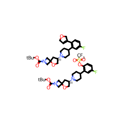 CC(C)(C)OC(=O)N1CC2(C[C@H](N3CCC(c4cc(F)ccc4C4=CCOC4)CC3)CO2)C1.CC(C)(C)OC(=O)N1CC2(C[C@H](N3CCC(c4cc(F)ccc4OS(=O)(=O)C(F)(F)F)CC3)CO2)C1